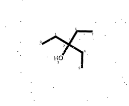 [CH2]CC(O)(CC)CC